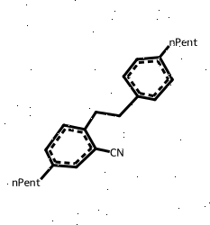 CCCCCc1ccc(CCc2ccc(CCCCC)cc2C#N)cc1